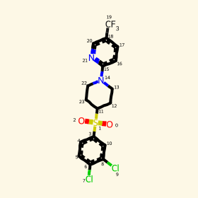 O=S(=O)(c1ccc(Cl)c(Cl)c1)C1CCN(c2ccc(C(F)(F)F)cn2)CC1